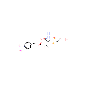 CC(OC(=O)OCc1ccc([N+](=O)[O-])cc1)[C@H]1C(=O)N[C@@H]1S(=O)(=O)CCO